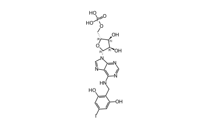 O=P(O)(O)OC[C@H]1O[C@@H](n2cnc3c(NCc4c(O)cc(I)cc4O)ncnc32)[C@H](O)[C@@H]1O